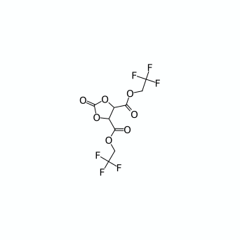 O=C1OC(C(=O)OCC(F)(F)F)C(C(=O)OCC(F)(F)F)O1